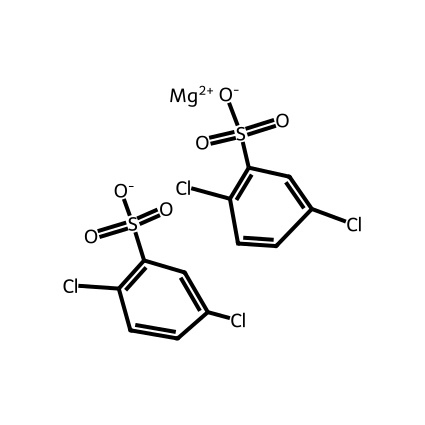 O=S(=O)([O-])c1cc(Cl)ccc1Cl.O=S(=O)([O-])c1cc(Cl)ccc1Cl.[Mg+2]